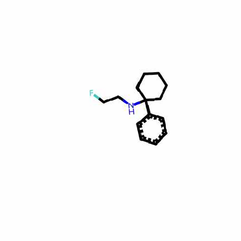 FCCNC1(c2ccccc2)CCCCC1